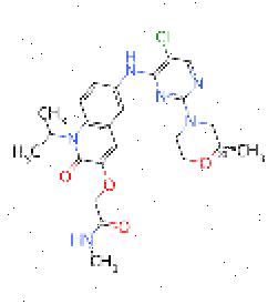 CNC(=O)COc1cc2cc(Nc3nc(N4CCO[C@H](C)C4)ncc3Cl)ccc2n(C(C)C)c1=O